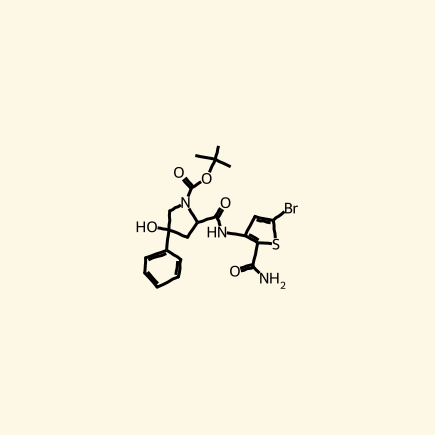 CC(C)(C)OC(=O)N1CC(O)(c2ccccc2)CC1C(=O)Nc1cc(Br)sc1C(N)=O